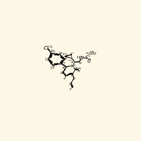 C=CCC1=CCC(c2ccc(Cl)cc2)N(C(CN[S+]([O-])C(C)(C)C)C2CC2)C1=O